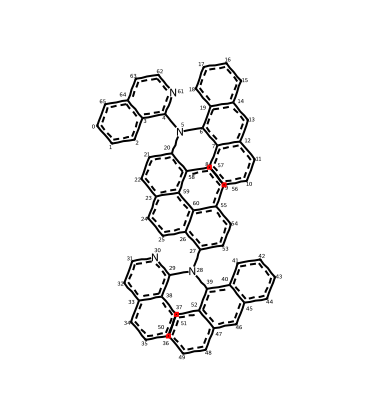 c1ccc2c(N(c3c4ccccc4cc4ccccc34)c3ccc4ccc5c(N(c6nccc7ccccc67)c6c7ccccc7cc7ccccc67)ccc6ccc3c4c65)nccc2c1